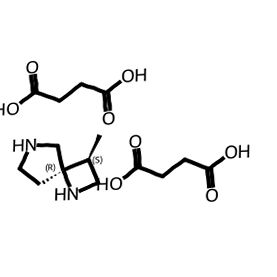 C[C@H]1CN[C@]12CCNC2.O=C(O)CCC(=O)O.O=C(O)CCC(=O)O